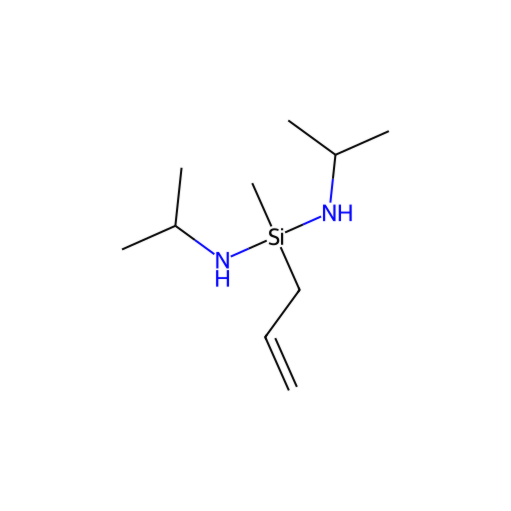 C=CC[Si](C)(NC(C)C)NC(C)C